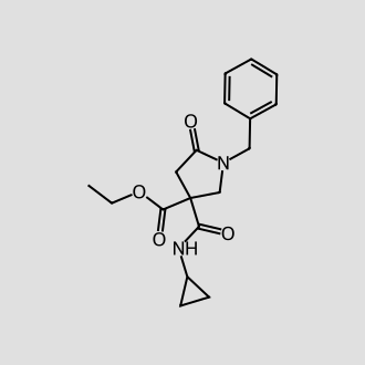 CCOC(=O)C1(C(=O)NC2CC2)CC(=O)N(Cc2ccccc2)C1